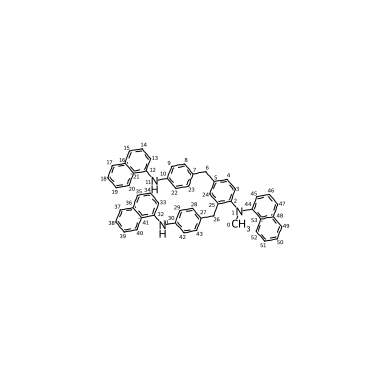 CN(c1ccc(Cc2ccc(Nc3cccc4ccccc34)cc2)cc1Cc1ccc(Nc2cccc3ccccc23)cc1)c1cccc2ccccc12